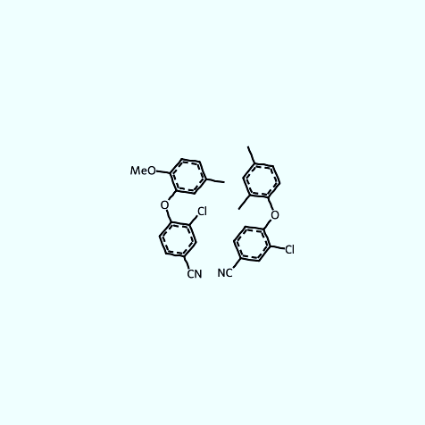 COc1ccc(C)cc1Oc1ccc(C#N)cc1Cl.Cc1ccc(Oc2ccc(C#N)cc2Cl)c(C)c1